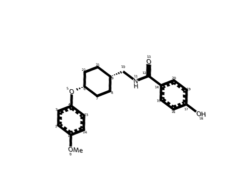 COc1ccc(O[C@H]2CC[C@@H](CNC(=O)c3ccc(O)cc3)CC2)cc1